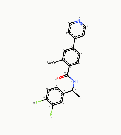 COc1cc(-c2ccncc2)ccc1C(=O)N[C@@H](C)c1ccc(F)c(F)c1